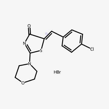 Br.O=C1N=C(N2CCOCC2)S/C1=C\c1ccc(Cl)cc1